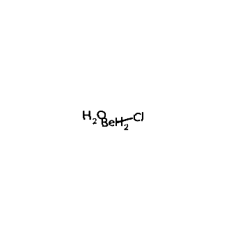 CCl.O.[BeH2]